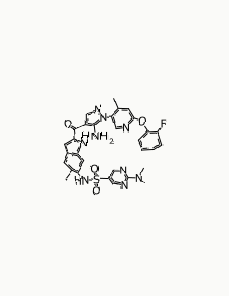 Cc1cc2cc(C(=O)c3cnn(-c4cnc(Oc5ccccc5F)cc4C)c3N)[nH]c2cc1NS(=O)(=O)c1cnc(N(C)C)nc1